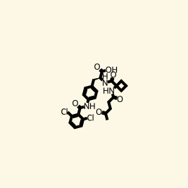 CC(=O)CCC(=O)NC1(C(=O)N[C@@H](Cc2ccc(NC(=O)c3c(Cl)cccc3Cl)cc2)C(=O)O)CCC1